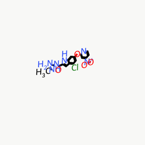 CNC(N)=NC(=O)c1cc2c(Cl)cc(Oc3cc([N+](=O)[O-])ccn3)cc2[nH]1